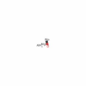 [AlH3].[MgH2].[O]=[Mo]